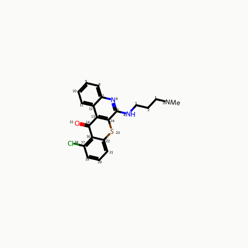 CNCCCNc1nc2ccccc2c2c(=O)c3c(Cl)cccc3sc12